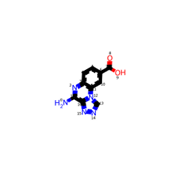 Nc1nc2ccc(C(=O)O)cc2n2cnnc12